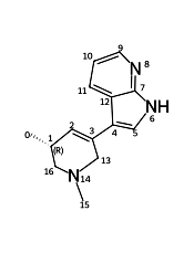 C[C@@H]1C=C(c2c[nH]c3ncccc23)CN(C)C1